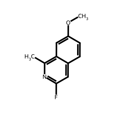 COc1ccc2cc(F)nc(C)c2c1